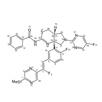 COc1cnc(/C(F)=C/c2ccc(F)c([C@]34CN(c5ncc(F)cn5)C[C@H]3CSC(NC(=O)c3ccccc3)=N4)c2)cn1